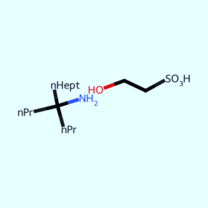 CCCCCCCC(N)(CCC)CCC.O=S(=O)(O)CCO